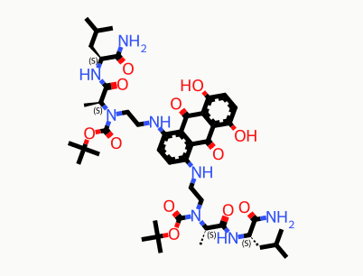 CC(C)C[C@H](NC(=O)[C@H](C)N(CCNc1ccc(NCCN(C(=O)OC(C)(C)C)[C@@H](C)C(=O)N[C@@H](CC(C)C)C(N)=O)c2c1C(=O)c1c(O)ccc(O)c1C2=O)C(=O)OC(C)(C)C)C(N)=O